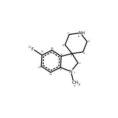 CN1CC2(CCNCC2)c2cc(F)ccc21